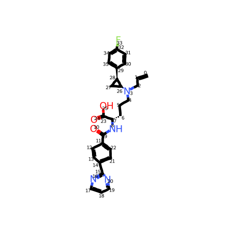 C=CCN(CCC[C@H](NC(=O)c1ccc(-c2ncccn2)cc1)C(=O)O)[C@@H]1C[C@H]1c1ccc(F)cc1